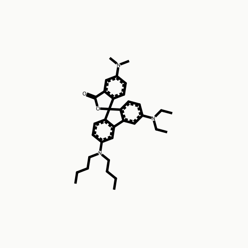 CCCCN(CCCC)c1ccc2c(c1)-c1cc(N(CC)CC)ccc1C21OC(=O)c2cc(N(C)C)ccc21